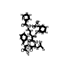 CNC(=O)[C@H](Cc1ccccc1)NC(=O)[C@H](CC(C)C)NC(=O)C(CCCNC(=O)c1ccccn1)SSc1ccccc1[N+](=O)[O-]